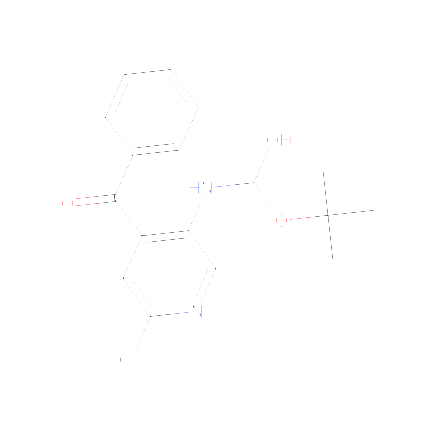 CC(C)(C)OC(O)Nc1cnc(Cl)cc1C(=O)c1ccccc1